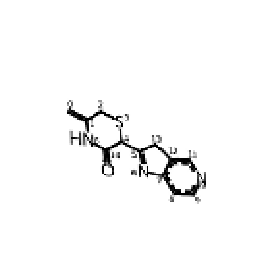 C=C1CSC(C2=Nc3ccncc3C2)C(=O)N1